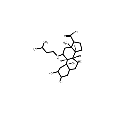 CC(C)CCNC1C[C@]2(C)C(C(=O)O)CC[C@H]2[C@@H]2CCC3CC(O)C(O)C[C@]3(C)[C@H]12.Cl